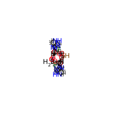 BP1(=O)OC[C@H]2O[C@@H](n3nc4c5c(ncnc53)NCCC4)C(F)C2OP(=O)(S)OC[C@H]2O[C@@H](n3nc4c5c(ncnc53)NCCC4)C(F)C2O1